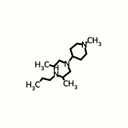 CCCNC(C)CN(CCC)C1CCN(C)CC1